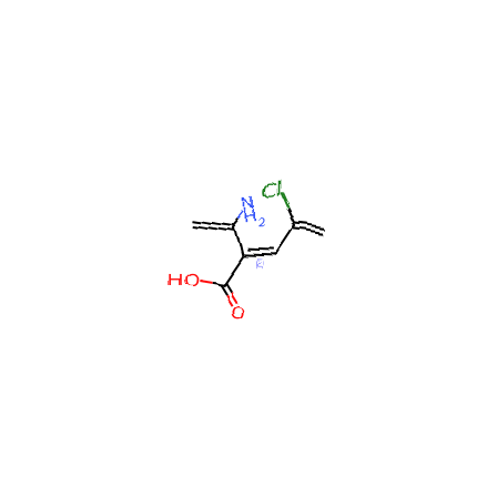 C=C(Cl)/C=C(\C(=C)N)C(=O)O